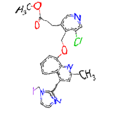 COC(=O)CCc1cncc(Cl)c1COc1cccc2c(-c3nccn3CI)cc(C)nc12